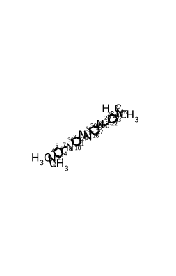 CN(C)c1ccc(C=Nc2ccc(N=Nc3ccc(N=Cc4ccc(N(C)C)cc4)cc3)cc2)cc1